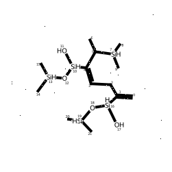 C=C(C/C=C(\C(C)[SiH](C)C)[SiH](O)O[SiH](C)C)[SiH](O)O[SiH](C)C